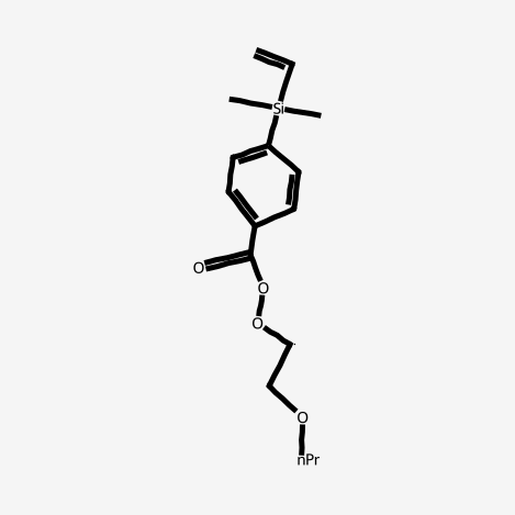 C=C[Si](C)(C)c1ccc(C(=O)OO[CH]COCCC)cc1